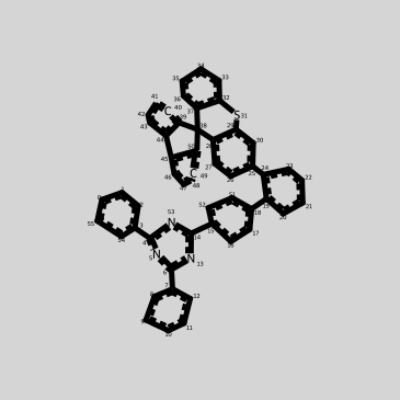 c1ccc(-c2nc(-c3ccccc3)nc(-c3ccc(-c4ccccc4-c4ccc5c(c4)Sc4ccccc4C54c5ccccc5-c5ccccc54)cc3)n2)cc1